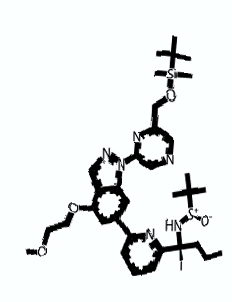 CCC[C@@](I)(N[S@+]([O-])C(C)(C)C)c1cccc(-c2cc(OCCOC)c3cnn(-c4cncc(CO[Si](C)(C)C(C)(C)C)n4)c3c2)n1